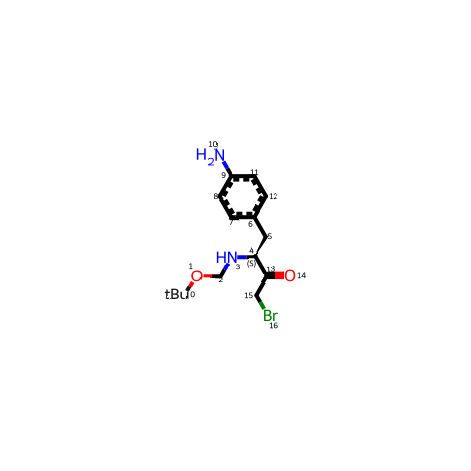 CC(C)(C)OCN[C@@H](Cc1ccc(N)cc1)C(=O)CBr